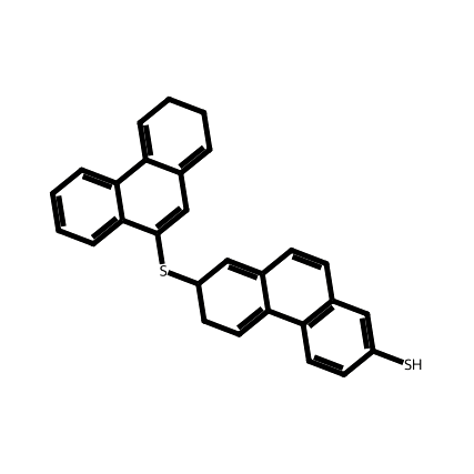 Sc1ccc2c3c(ccc2c1)=CC(Sc1cc2c(c4ccccc14)=CCCC=2)CC=3